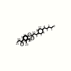 CCCCCC1CCC(CCC(=O)Oc2ccc(C(=O)CC)c(C)c2F)CC1